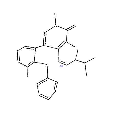 C=C1C(C)=C(/C=C\C(C)C(C)C)C(c2cccc(C)c2Cc2ccccc2)=CN1C